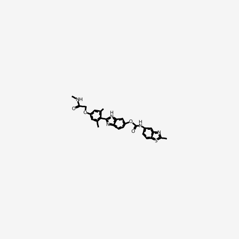 CNC(=O)COc1cc(C)c(-c2nc3ccc(OC(=O)Nc4ccc5sc(C)nc5c4)cc3[nH]2)c(C)c1